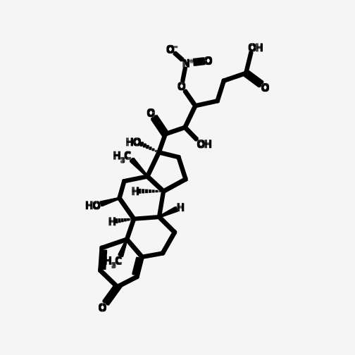 C[C@]12C=CC(=O)C=C1CC[C@@H]1[C@@H]2[C@@H](O)C[C@@]2(C)[C@H]1CC[C@]2(O)C(=O)C(O)C(CCC(=O)O)O[N+](=O)[O-]